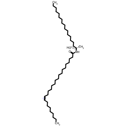 CCCCCCCC/C=C\CCCCCCCCCCCCCCCC(=O)N[C@@H](C)[C@H](O)CCCCCCCCCCCCCCC